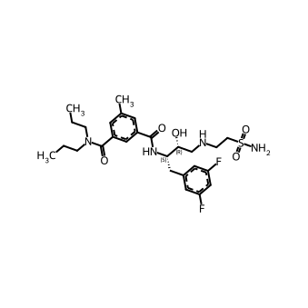 CCCN(CCC)C(=O)c1cc(C)cc(C(=O)N[C@@H](Cc2cc(F)cc(F)c2)[C@H](O)CNCCS(N)(=O)=O)c1